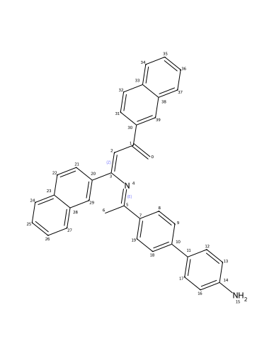 C=C(/C=C(\N=C(/C)c1ccc(-c2ccc(N)cc2)cc1)c1ccc2ccccc2c1)c1ccc2ccccc2c1